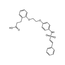 O=C(O)CCc1ccccc1OCCOc1ccc(NS(=O)(=O)/C=C/c2ccccc2)cc1